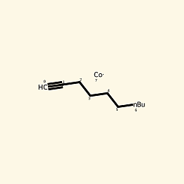 C#CCCCCCCCC.[Co]